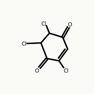 O=C1C=C(Cl)C(=O)C(Cl)C1Cl